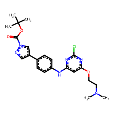 CN(C)CCOc1cc(Nc2ccc(-c3cnn(C(=O)OC(C)(C)C)c3)cc2)nc(Cl)n1